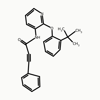 CC(C)(C)c1ccccc1Oc1ncccc1NC(=O)C#Cc1ccccc1